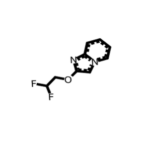 FC(F)COc1cn2ccccc2n1